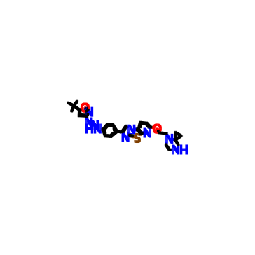 CC(C)(C)c1cc(N=NNc2ccc(-c3cn4c(n3)sc3nc(OCCN5CCNCC56CC6)ccc34)cc2)no1